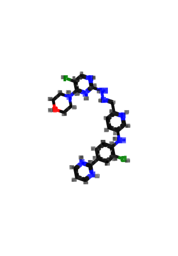 Fc1cnc(N/N=C/c2ccc(Nc3ccc(-c4ncccn4)cc3Cl)cn2)nc1N1CCOCC1